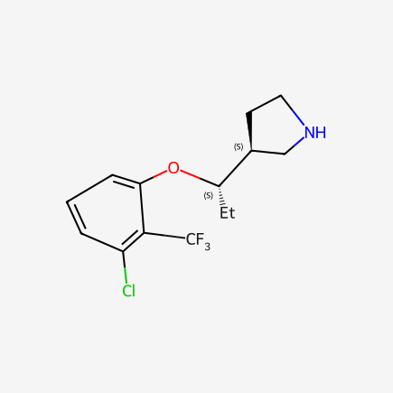 CC[C@H](Oc1cccc(Cl)c1C(F)(F)F)[C@H]1CCNC1